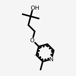 Cc1[c]c(OCCC(C)(C)O)ccn1